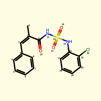 CC(=Cc1ccccc1)C(=O)NS(=O)(=O)Nc1ccccc1Cl